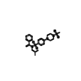 C=C(c1ccccc1)N(CC(C)C)S(=O)(=O)c1ccc(N2CCN(S(C)(=O)=O)CC2)cc1